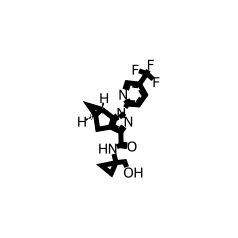 O=C(NC1(CO)CC1)c1nn(-c2ccc(C(F)(F)F)cn2)c2c1C[C@H]1C[C@@H]21